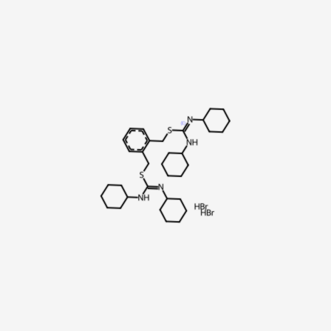 Br.Br.c1ccc(CS/C(=N/C2CCCCC2)NC2CCCCC2)c(CSC(=NC2CCCCC2)NC2CCCCC2)c1